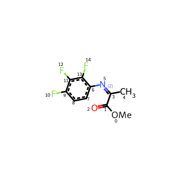 COC(=O)/C(C)=N\c1ccc(F)c(F)c1F